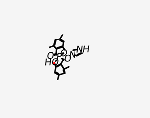 Cc1cc(C)c(C(=O)P(=O)(O)C(=O)c2c(C)cc(C)cc2C)c(C)c1.c1c[nH]cn1